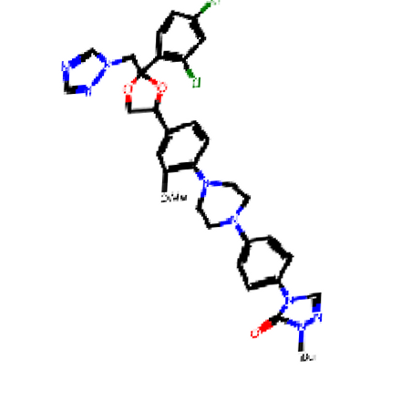 CCC(C)n1ncn(-c2ccc(N3CCN(c4ccc(C5COC(Cn6cncn6)(c6ccc(Cl)cc6Cl)O5)cc4OC)CC3)cc2)c1=O